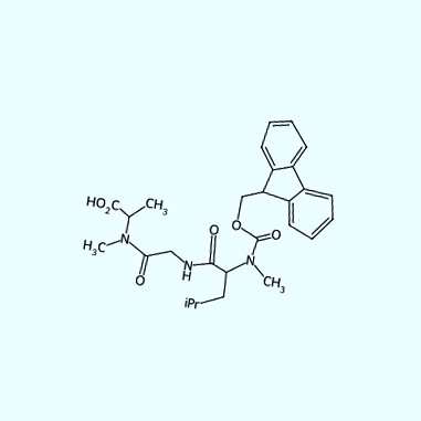 CC(C)CC(C(=O)NCC(=O)N(C)C(C)C(=O)O)N(C)C(=O)OCC1c2ccccc2-c2ccccc21